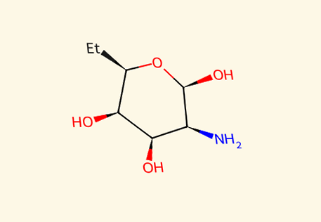 CC[C@H]1O[C@@H](O)[C@@H](N)[C@@H](O)[C@H]1O